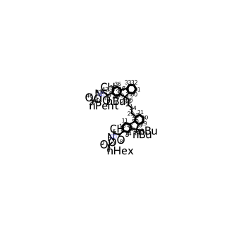 CCCCCCC(=O)O/N=C(/C)C(=O)c1ccc2c(c1)C(CCCC)(CCCC)c1cccc(CCCCC3(CCCC)c4ccccc4-c4ccc(C(=O)/C(C)=N\OC(=O)CCCCC)cc43)c1-2